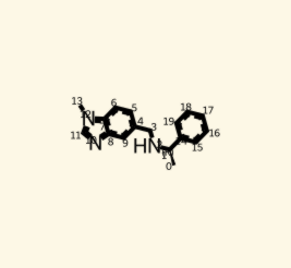 C[C@@H](NCc1ccc2c(c1)ncn2C)c1ccccc1